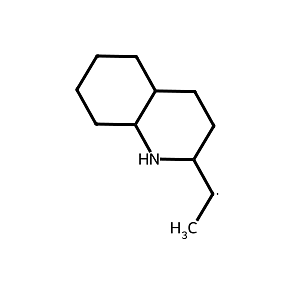 C[CH]C1CCC2CCCCC2N1